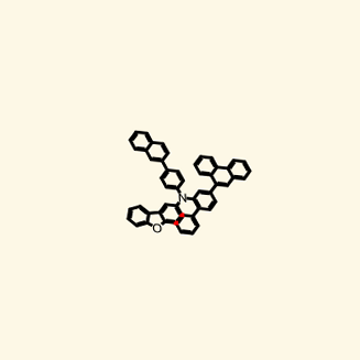 c1ccc(-c2ccc(-c3cc4ccccc4c4ccccc34)cc2N(c2ccc(-c3ccc4ccccc4c3)cc2)c2ccc3oc4ccccc4c3c2)cc1